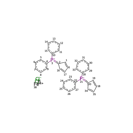 C1=CC(=[P-](c2ccccc2)c2ccccc2)C=C1.C1=CC(=[P-](c2ccccc2)c2ccccc2)C=C1.[Cl-].[Cl-].[Fe+4]